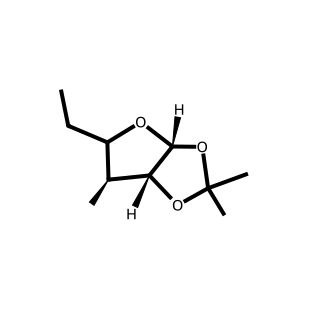 CCC1O[C@@H]2OC(C)(C)O[C@@H]2[C@H]1C